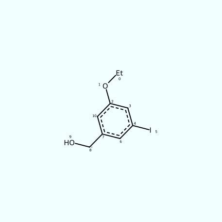 CCOc1cc(I)cc([CH]O)c1